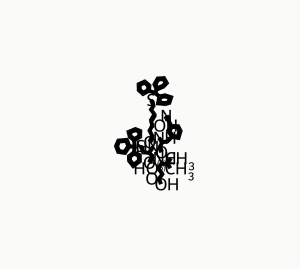 CC(C)[C@@H](NC(=O)C(CSC(c1ccccc1)(c1ccccc1)c1ccccc1)NC(=O)C(Cc1cccc(C#N)c1)NC(=O)CC(O)C=CCCSC(c1ccccc1)(c1ccccc1)c1ccccc1)[C@@H](O)CC(=O)O